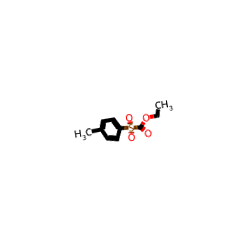 CCOC(=O)S(=O)(=O)c1ccc(C)cc1